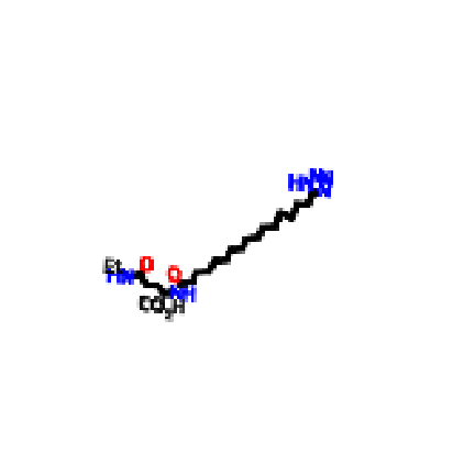 CCNC(=O)CC[C@H](NC(=O)CCCCCCCCCCCCCCCc1nnn[nH]1)C(=O)O